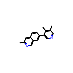 Cc1cc2ccc(-c3cncc(C)c3C)cc2cn1